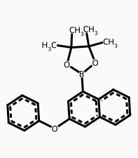 CC1(C)OB(c2cc(Oc3ccccc3)cc3ccccc23)OC1(C)C